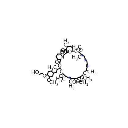 COC1CC2CCC(C)C(=O)C(O)(O2)C(=O)N2CCCCC2C(=O)OC(C(C)CC2CCC(OCCO)C(OC)C2)CC(=O)C(C)/C=C(/C)C(O)C(OC)C(=O)C(C)CC(C)\C=C/C=C/C=C/1C